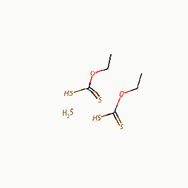 CCOC(=S)S.CCOC(=S)S.S